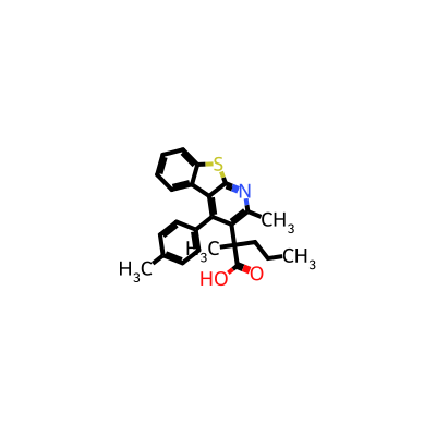 CCCC(C)(C(=O)O)c1c(C)nc2sc3ccccc3c2c1-c1ccc(C)cc1